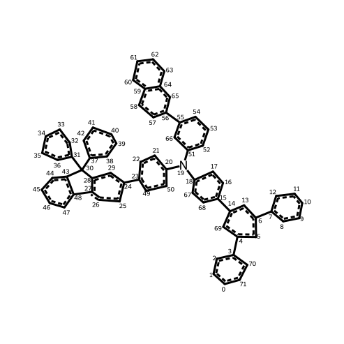 c1ccc(-c2cc(-c3ccccc3)cc(-c3ccc(N(c4ccc(-c5ccc6c(c5)C(c5ccccc5)(c5ccccc5)c5ccccc5-6)cc4)c4cccc(-c5ccc6ccccc6c5)c4)cc3)c2)cc1